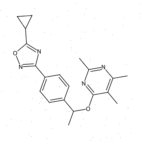 Cc1nc(C)c(C)c(OC(C)c2ccc(-c3noc(C4CC4)n3)cc2)n1